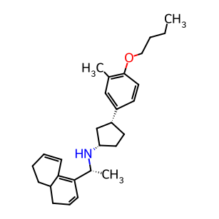 CCCCOc1ccc([C@@H]2CC[C@H](N[C@H](C)C3=C4C=CCCC4CC=C3)C2)cc1C